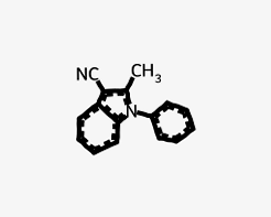 Cc1c(C#N)c2ccccc2n1-c1ccccc1